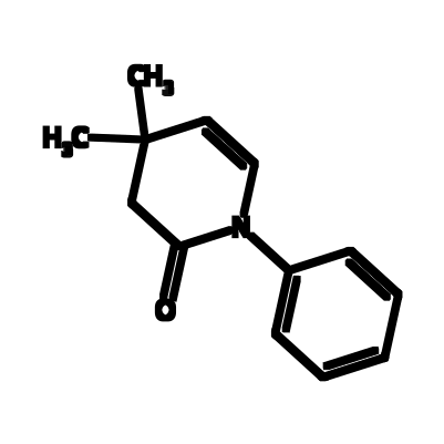 CC1(C)C=CN(c2ccccc2)C(=O)C1